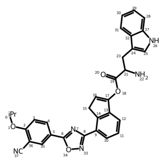 CC(C)Oc1ccc(-c2nc(-c3cccc4c3CC=C4OC(=O)C(N)Cc3c[nH]c4ccccc34)no2)cc1C#N